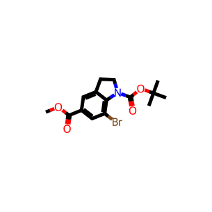 COC(=O)c1cc(Br)c2c(c1)CCN2C(=O)OC(C)(C)C